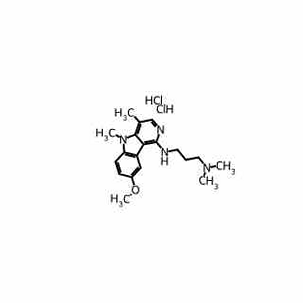 COc1ccc2c(c1)c1c(NCCCN(C)C)ncc(C)c1n2C.Cl.Cl